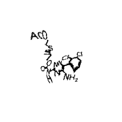 CC(=O)OCCSSCCOC(=O)Nc1nnc(-c2cccc(Cl)c2Cl)c(N)n1